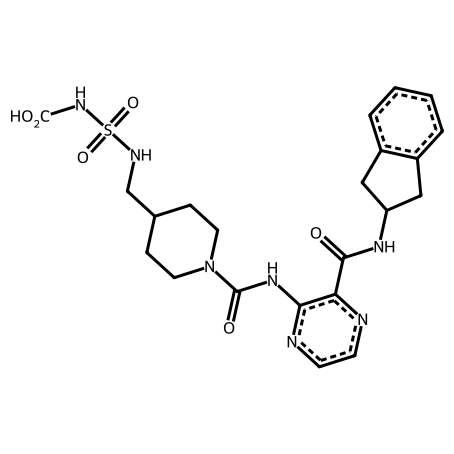 O=C(O)NS(=O)(=O)NCC1CCN(C(=O)Nc2nccnc2C(=O)NC2Cc3ccccc3C2)CC1